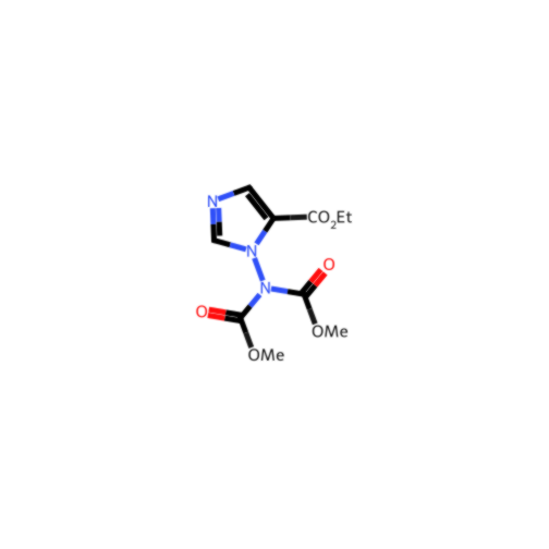 CCOC(=O)c1cncn1N(C(=O)OC)C(=O)OC